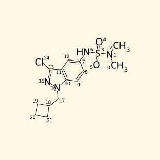 CN(C)S(=O)(=O)Nc1ccc2c(c1)c(Cl)nn2CC1CCC1